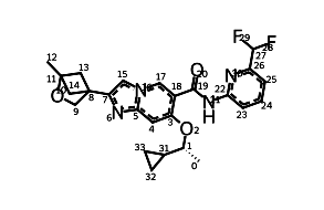 C[C@@H](Oc1cc2nc(C34COC(C)(C3)C4)cn2cc1C(=O)Nc1cccc(C(F)F)n1)C1CC1